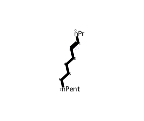 CCC/C=C/CCCCCCCCC